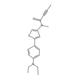 CC#CC(=O)N(C)c1csc(-c2ccc(N(CC)CC)cc2)c1